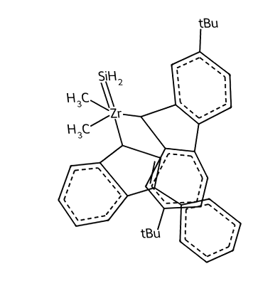 CC(C)(C)c1ccc2c(c1)[CH]([Zr]([CH3])([CH3])(=[SiH2])[CH]1C=C(c3ccccc3)c3ccccc31)c1cc(C(C)(C)C)ccc1-2